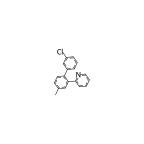 Cc1ccc(-c2cccc(Cl)c2)c(-c2ccccn2)c1